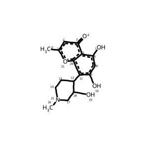 Cc1cc(=O)c2c(O)cc(O)c(C3CCN(C)CC3O)c2o1